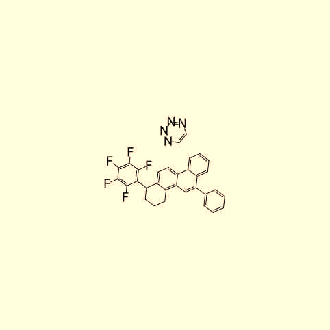 Fc1c(F)c(F)c(C2CCCc3c2ccc2c3cc(-c3ccccc3)c3ccccc32)c(F)c1F.c1cnnnn1